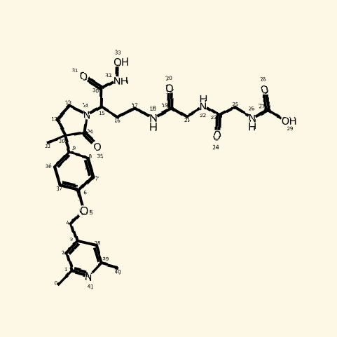 Cc1cc(COc2ccc(C3(C)CCN(C(CCNC(=O)CNC(=O)CNC(=O)O)C(=O)NO)C3=O)cc2)cc(C)n1